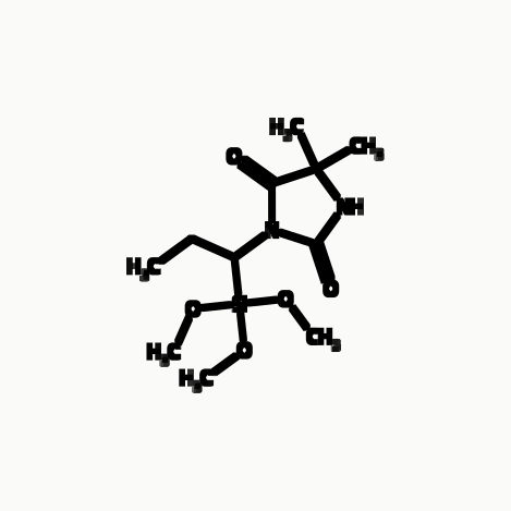 CCC(N1C(=O)NC(C)(C)C1=O)[Si](OC)(OC)OC